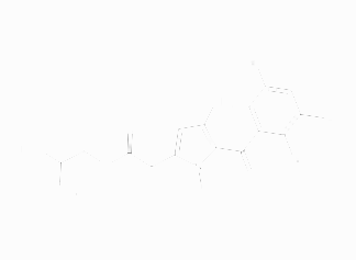 Cc1cc(CC(=O)OCC(C)C)n(C)c1C(=O)c1cc(Br)cc(Br)c1Br